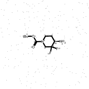 CC(C)(C)OC(=O)N1CC[C@@H](N)C(F)(F)C1